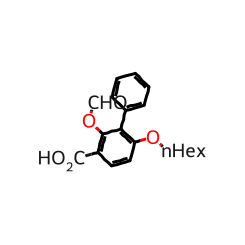 CCCCCCOc1ccc(C(=O)O)c(OC=O)c1-c1ccccc1